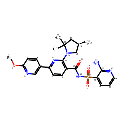 CC(C)Oc1ccc(-c2ccc(C(=O)NS(=O)(=O)c3cccnc3N)c(N3C[C@H](C)CC3(C)C)n2)cn1